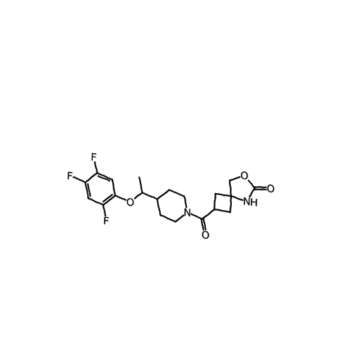 CC(Oc1cc(F)c(F)cc1F)C1CCN(C(=O)C2CC3(COC(=O)N3)C2)CC1